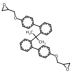 CC(C)(c1ccccc1-c1ccc(OCC2CO2)cc1)c1ccccc1-c1ccc(OCC2CO2)cc1